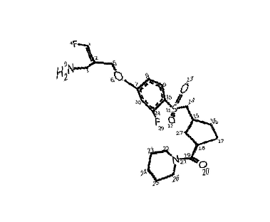 NC/C(=C\F)COc1ccc(S(=O)(=O)CC2CCC(C(=O)N3CCCCC3)C2)c(F)c1